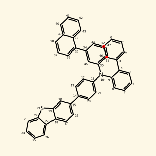 c1ccc(-c2ccccc2N(c2ccc(-c3ccc4c(c3)sc3ccccc34)cc2)c2cccc(-c3cccc4ccccc34)c2)cc1